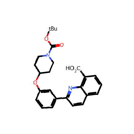 CC(C)(C)OC(=O)N1CCC(Oc2cccc(-c3ccc4cccc(C(=O)O)c4n3)c2)CC1